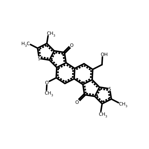 COc1cc2c(cc(CO)c3c4sc(C)c(C)c4c(=O)c23)c2c(=O)c3c(C)c(C)sc3c12